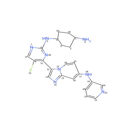 NC1CCC(Nc2ncc(F)c(-c3cnc4cc(Nc5cccnc5)ccn34)n2)CC1